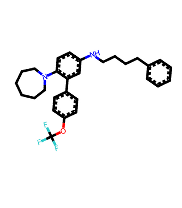 FC(F)(F)Oc1ccc(-c2cc(NCCCCc3ccccc3)ccc2N2CCCCCC2)cc1